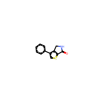 O=C1NCc2c(-c3ccccc3)csc21